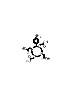 Nc1ccc(C2CN(CC(=O)O)CCN(CC(=O)O)CCN(CC(=O)O)CCN2CC(=O)O)cc1